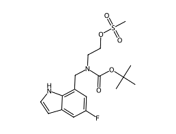 CC(C)(C)OC(=O)N(CCOS(C)(=O)=O)Cc1cc(F)cc2cc[nH]c12